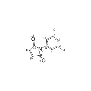 Cc1cc(C)cc(N2C(=O)C=CC2=O)c1